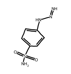 N=NNc1ccc(S(N)(=O)=O)cc1